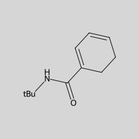 CC(C)(C)NC(=O)C1=CC=CCC1